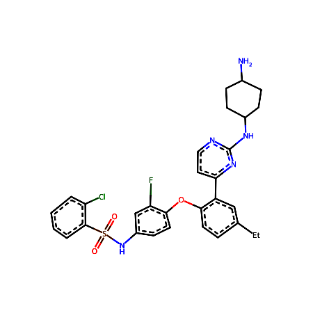 CCc1ccc(Oc2ccc(NS(=O)(=O)c3ccccc3Cl)cc2F)c(-c2ccnc(NC3CCC(N)CC3)n2)c1